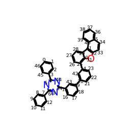 c1ccc(-c2nc(-c3ccccc3)nc(-c3cccc(-c4cccc(-c5cccc6c5oc5ccc7ccccc7c56)c4)c3)n2)cc1